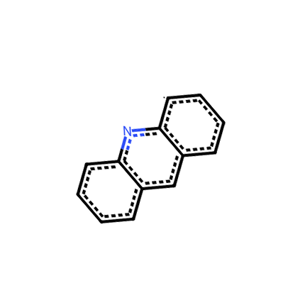 [c]1cccc2cc3ccccc3nc12